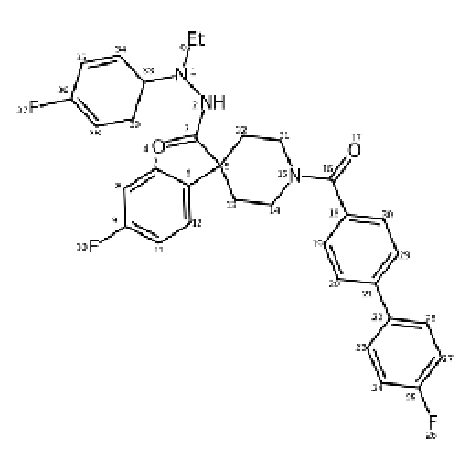 CCN(NC(=O)C1(c2ccc(F)cc2)CCN(C(=O)c2ccc(-c3ccc(F)cc3)cc2)CC1)C1C=CC(F)=CC1